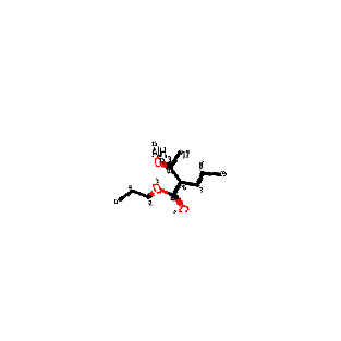 CCCOC(=O)C(CCC)C(C)=O.[AlH3]